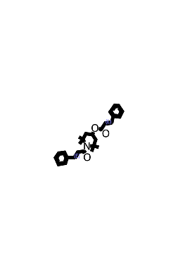 CC1(C)CC(OC(=O)/C=C/c2ccccc2)CC(C)(C)N1C(=O)/C=C/c1ccccc1